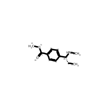 CC[C@@H](NC)c1ccc(C(=O)OC)cc1